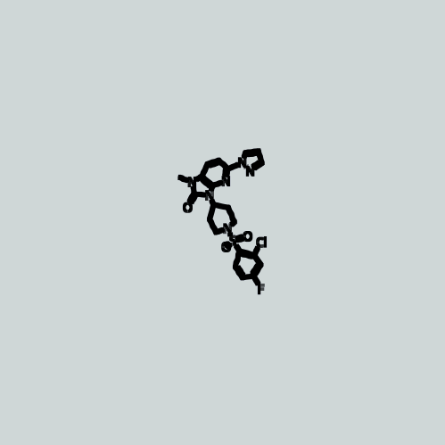 Cn1c(=O)n(C2CCN(S(=O)(=O)c3ccc(F)cc3Cl)CC2)c2nc(-n3cccn3)ccc21